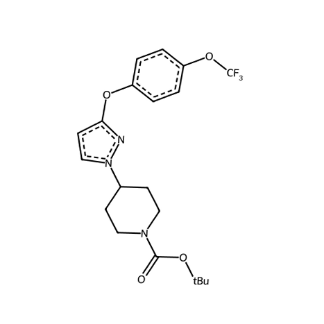 CC(C)(C)OC(=O)N1CCC(n2ccc(Oc3ccc(OC(F)(F)F)cc3)n2)CC1